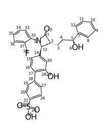 O=C1[C@H](CC[C@H](O)c2ccccc2)[C@@H](c2ccc(-c3ccc(S(=O)(=O)O)cc3)c(O)c2)N1c1ccccc1F